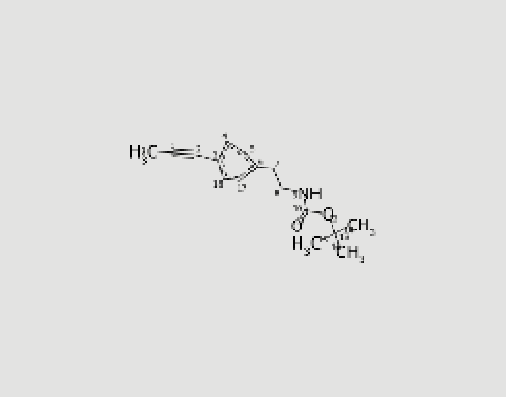 CC#Cc1ccc(CCNC(=O)OC(C)(C)C)cc1